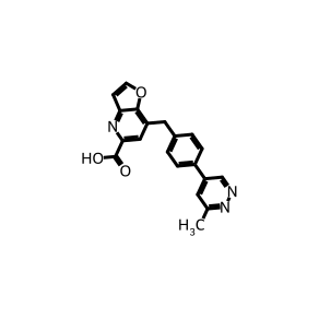 Cc1cc(-c2ccc(Cc3cc(C(=O)O)nc4ccoc34)cc2)cnn1